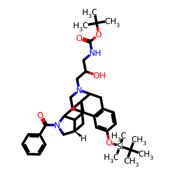 CC(C)(C)OC(=O)NCC(O)CN1CCC23c4cc(O[Si](C)(C)C(C)(C)C)ccc4CC1C21CCC2C3[C@@H](CN2C(=O)c2ccccc2)C1